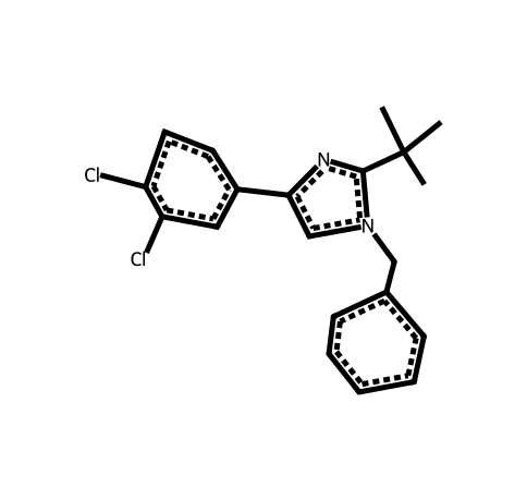 CC(C)(C)c1nc(-c2ccc(Cl)c(Cl)c2)cn1Cc1ccccc1